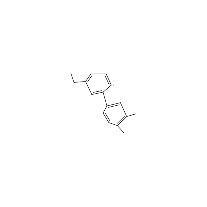 CCc1cc[c]c(-c2ccc(C)c(C)c2)c1